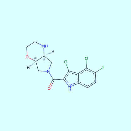 O=C(c1[nH]c2ccc(F)c(Cl)c2c1Cl)N1C[C@@H]2NCCO[C@@H]2C1